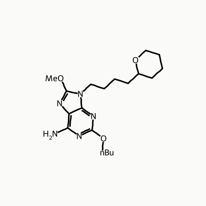 CCCCOc1nc(N)c2nc(OC)n(CCCCC3CCCCO3)c2n1